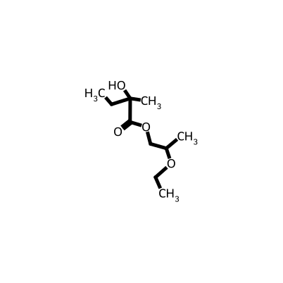 CCOC(C)COC(=O)C(C)(O)CC